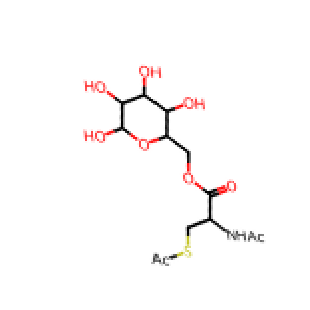 CC(=O)NC(CSC(C)=O)C(=O)OCC1OC(O)C(O)C(O)C1O